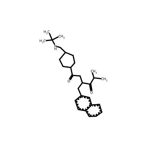 CC(C)C(=O)C(CC(=O)C1CCC(CNC(C)(C)C)CC1)Cc1ccc2ccccc2c1